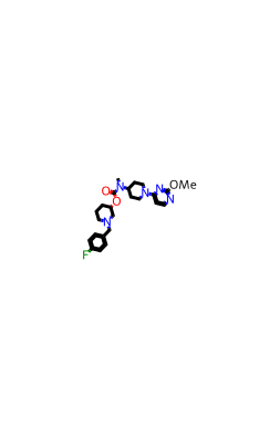 COc1nccc(N2CCC(N(C)C(=O)OC3CCCN(Cc4ccc(F)cc4)C3)CC2)n1